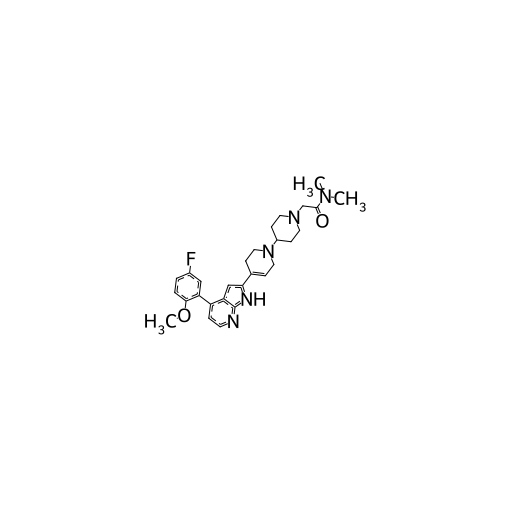 COc1ccc(F)cc1-c1ccnc2[nH]c(C3=CCN(C4CCN(CC(=O)N(C)C)CC4)CC3)cc12